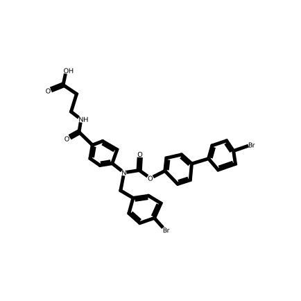 O=C(O)CCNC(=O)c1ccc(N(Cc2ccc(Br)cc2)C(=O)Oc2ccc(-c3ccc(Br)cc3)cc2)cc1